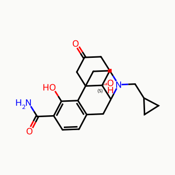 NC(=O)c1ccc2c(c1O)C13CCN(CC4CC4)C(C2)[C@]1(O)CCC(=O)C3